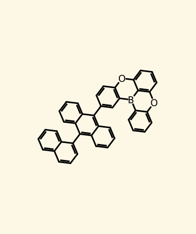 c1ccc2c(c1)Oc1cccc3c1B2c1cc(-c2c4ccccc4c(-c4cccc5ccccc45)c4ccccc24)ccc1O3